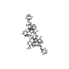 COc1ccc(CN(CC(O)C(C(=O)[C@@H](NC(=O)NCCN2CCOCC2)C(C)C)C(N)c2ccccc2)NC(=O)[C@@H](NC(=O)NCCN2CCOCC2)C(C)C)cc1OC